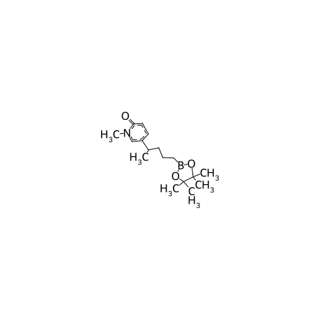 CC(CCCB1OC(C)(C)C(C)(C)O1)c1ccc(=O)n(C)c1